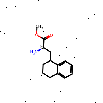 COC(=O)[C@H](N)CC1CCCc2ccccc21